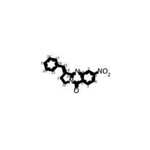 O=c1c2ccc([N+](=O)[O-])cc2nc2n1CCC2=Cc1ccccc1